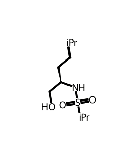 CC(C)CC[C@H](CO)NS(=O)(=O)C(C)C